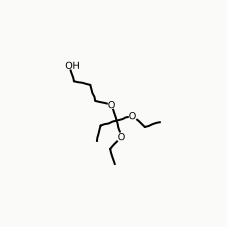 CCOC(CC)(OCC)OCCCO